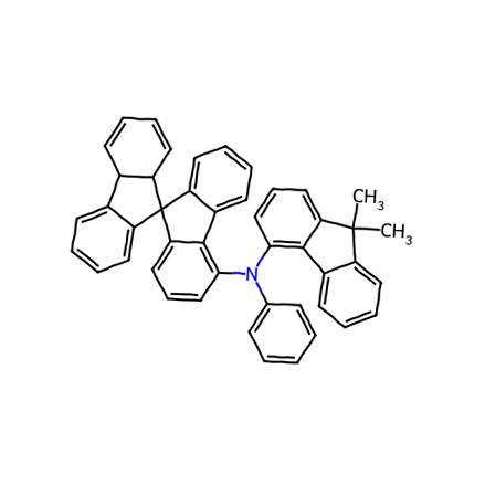 CC1(C)c2ccccc2-c2c(N(c3ccccc3)c3cccc4c3-c3ccccc3C43c4ccccc4C4C=CC=CC43)cccc21